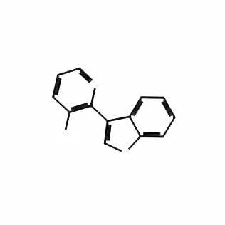 Nc1[c]ccnc1-c1csc2ccccc12